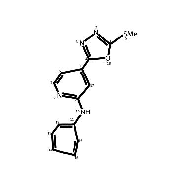 CSc1nnc(-c2ccnc(Nc3ccccc3)c2)o1